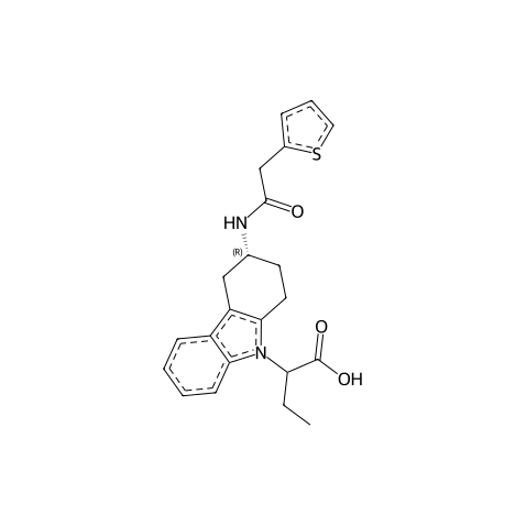 CCC(C(=O)O)n1c2c(c3ccccc31)C[C@H](NC(=O)Cc1cccs1)CC2